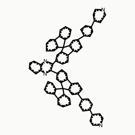 c1ccc2c(c1)-c1ccccc1C21c2cc(-c3ccc(-c4ccncc4)cc3)ccc2-c2ccc(-c3nc4ccccc4nc3-c3ccc4c(c3)C3(c5ccccc5-c5ccccc53)c3cc(-c5ccc(-c6ccncc6)cc5)ccc3-4)cc21